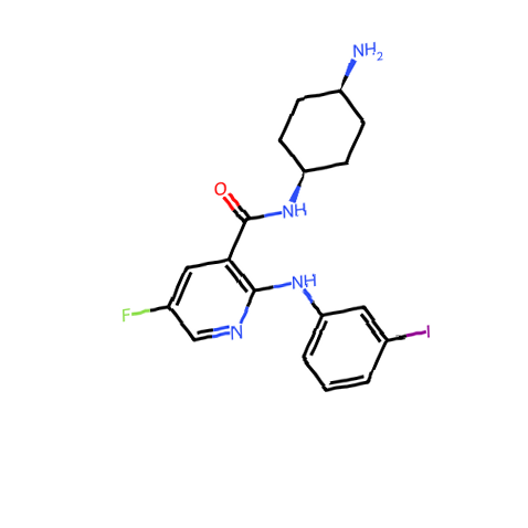 N[C@H]1CC[C@@H](NC(=O)c2cc(F)cnc2Nc2cccc(I)c2)CC1